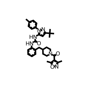 Cc1ccc(-n2nc(C(C)(C)C)cc2NC(=O)Nc2ccccc2CC2CCN(C(=O)c3c(C)noc3C)CC2)cc1